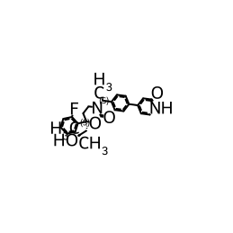 C[C@@H](c1ccc(-c2cc[nH]c(=O)c2)cc1)N1CC[C@](CC(C)(C)O)(c2ccccc2F)OC1=O